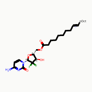 CCCCCCCC/C=C/CCCCCCCC(=O)OC[C@H]1O[C@@H](n2ccc(N)nc2=O)C(F)(F)[C@@H]1O